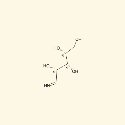 N=C[C@H](O)[C@@H](O)[C@H](O)CO